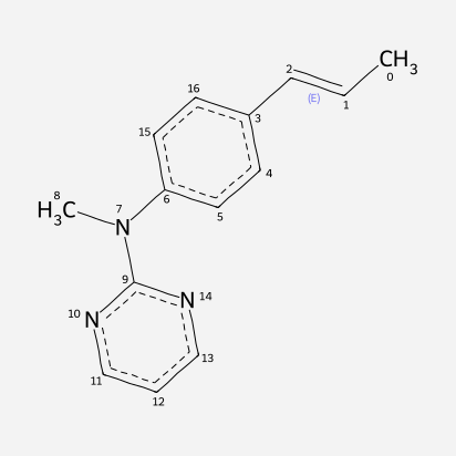 C/C=C/c1ccc(N(C)c2ncccn2)cc1